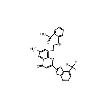 Cc1cc(CCNc2ccccc2C(=O)O)c2oc(N3Cc4cccc(C(F)(F)F)c4C3)cc(=O)c2c1